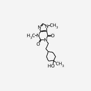 Cn1cnc2c1c(=O)n(CCC1CCC(C)(O)CC1)c(=O)n2C